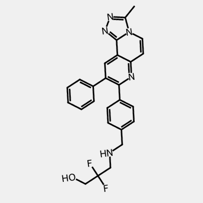 Cc1nnc2c3cc(-c4ccccc4)c(-c4ccc(CNCC(F)(F)CO)cc4)nc3ccn12